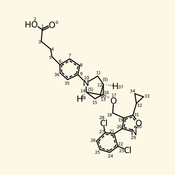 O=C(O)CCCc1ccc(N2C[C@@H]3C[C@H]2C[C@H]3OCc2c(-c3c(Cl)cccc3Cl)noc2C2CC2)cc1